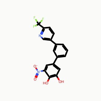 O=[N+]([O-])c1cc(-c2cccc(-c3ccc(C(F)(F)F)nc3)c2)cc(O)c1O